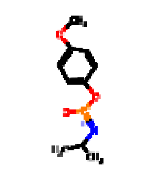 COc1ccc(O/[P+]([O-])=N/C(C)C)cc1